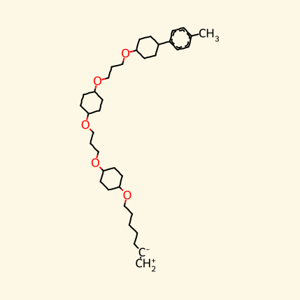 [CH2+][CH-]CCCCCOC1CCC(OCCCOC2CCC(OCCCOC3CCC(c4ccc(C)cc4)CC3)CC2)CC1